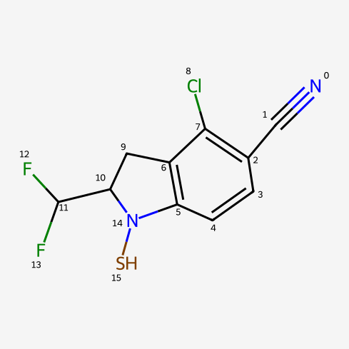 N#Cc1ccc2c(c1Cl)CC(C(F)F)N2S